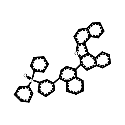 O=P(c1ccccc1)(c1ccccc1)c1cccc(-c2ccc(-c3cc4ccccc4c4c3oc3ccc5ccccc5c34)c3ccccc23)c1